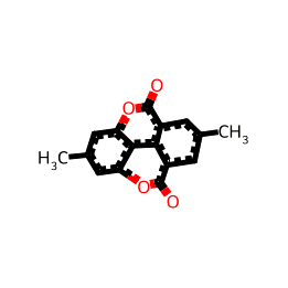 Cc1cc2oc(=O)c3cc(C)cc4c(=O)oc(c1)c2c34